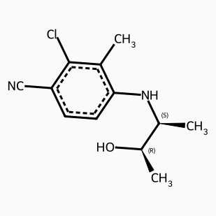 Cc1c(N[C@@H](C)[C@@H](C)O)ccc(C#N)c1Cl